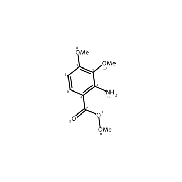 COOC(=O)c1ccc(OC)c(OC)c1N